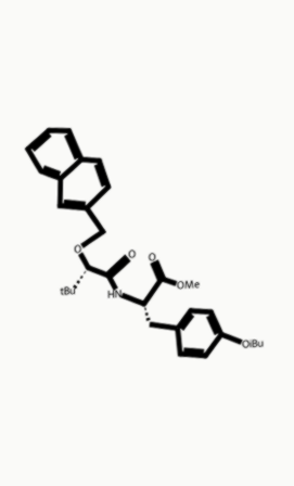 COC(=O)[C@H](Cc1ccc(OCC(C)C)cc1)NC(=O)[C@@H](OCc1ccc2ccccc2c1)C(C)(C)C